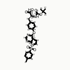 Cc1ccc(S(=O)(=O)n2ccc3c(Oc4ccc(C[C@H](NC(=O)OC(C)(C)C)C(=O)O)cc4)ncnc32)cc1